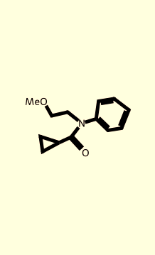 COCCN(C(=O)C1CC1)c1ccccc1